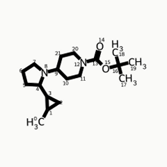 CC1CC1C1CCCN1C1CCN(C(=O)OC(C)(C)C)CC1